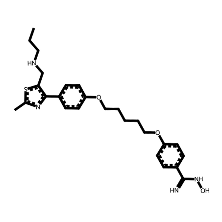 CCCNCc1sc(C)nc1-c1ccc(OCCCCCOc2ccc(C(=N)NO)cc2)cc1